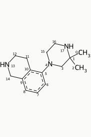 CC1(C)CN(c2cccc3c2CCNC3)CCN1